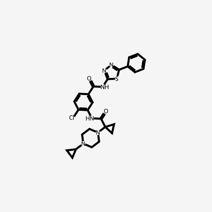 O=C(Nc1nnc(-c2ccccc2)s1)c1ccc(Cl)c(NC(=O)C2(N3CCN(C4CC4)CC3)CC2)c1